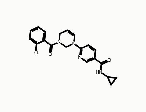 O=C(NC1CC1)c1ccc(N2C=CCN(C(=O)c3ccccc3Cl)C2)nc1